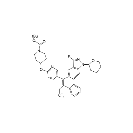 CC(C)(C)OC(=O)N1CCC(Oc2ccc(C(=C(CC(F)(F)F)c3ccccc3)c3ccc4c(c3)c(F)nn4C3CCCCO3)cn2)CC1